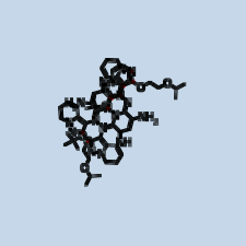 CC(C)OCCOc1nn2ccccc2c1N=C1C(=N)C=C(N)C(=Nc2c(OCCOC(C)C)nn3ccccc23)N1N1C(=Nc2c(OC(C)(C)C)nn3ccccc23)C(=N)C=C(N)C1=Nc1c(OC(C)(C)C)nn2ccccc12